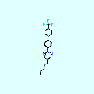 CCCCCc1cnc(-c2ccc(-c3ccc(C(F)(F)F)cc3)cc2)nc1